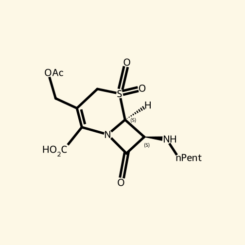 CCCCCN[C@H]1C(=O)N2C(C(=O)O)=C(COC(C)=O)CS(=O)(=O)[C@@H]12